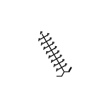 C=CC(CC)C(F)(F)C(F)(F)C(F)(F)C(F)(F)C(F)(F)C(F)(F)C(F)(F)C(F)(F)F